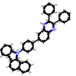 c1ccc(-c2nc3ccc(-c4ccc(-n5c6ccccc6c6ccc7ccccc7c65)cc4)cc3nc2-c2ccccc2)cc1